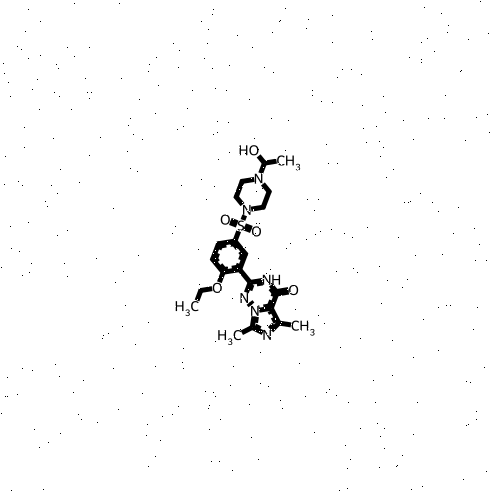 CCOc1ccc(S(=O)(=O)N2CCN(C(C)O)CC2)cc1-c1nn2c(C)nc(C)c2c(=O)[nH]1